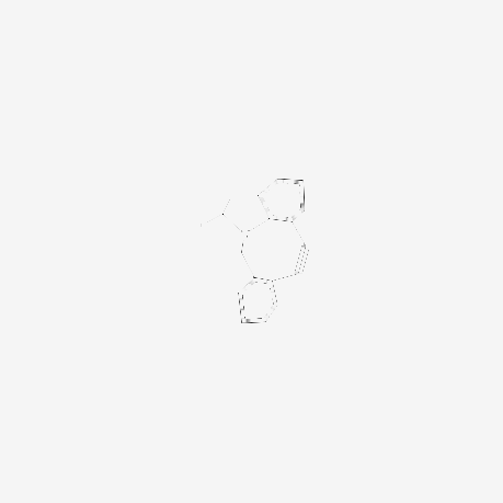 CCC(O)N1Cc2ccccc2C#Cc2ccccc21